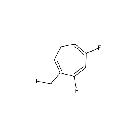 FC1=CCC=C(CI)C(F)=C1